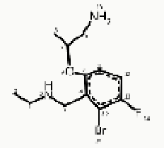 CCNCc1c(OC(C)CN)ccc(F)c1Br